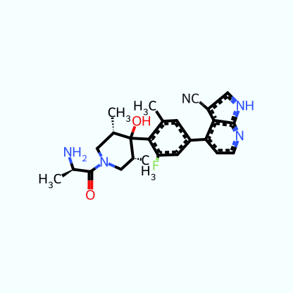 Cc1cc(-c2ccnc3[nH]cc(C#N)c23)cc(F)c1C1(O)[C@H](C)CN(C(=O)[C@@H](C)N)C[C@@H]1C